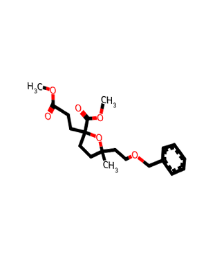 COC(=O)CCC1(C(=O)OC)CCC(C)(CCOCc2ccccc2)O1